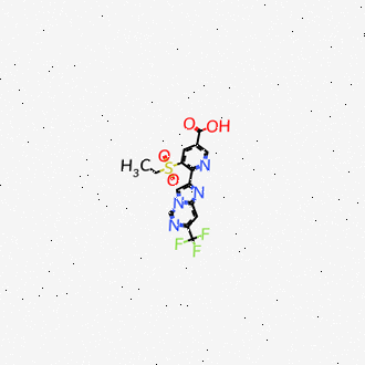 CCS(=O)(=O)c1cc(C(=O)O)cnc1-c1cn2cnc(C(F)(F)F)cc2n1